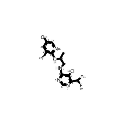 CC(CNc1ncnc(C(F)F)c1Cl)Oc1ncc(Cl)cc1F